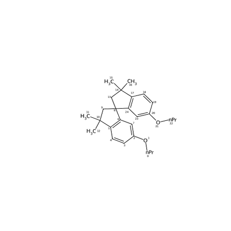 CCCOc1ccc2c(c1)C1(CC2(C)C)CC(C)(C)c2ccc(OCCC)cc21